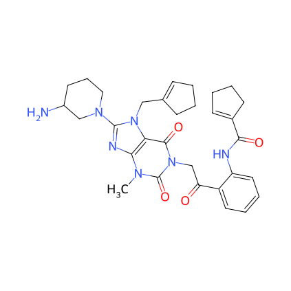 Cn1c(=O)n(CC(=O)c2ccccc2NC(=O)C2=CCCC2)c(=O)c2c1nc(N1CCCC(N)C1)n2CC1=CCCC1